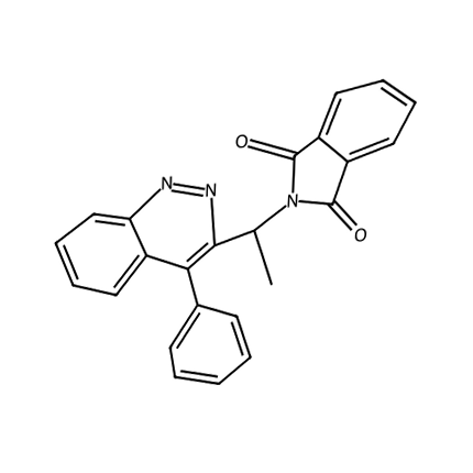 CC(c1nnc2ccccc2c1-c1ccccc1)N1C(=O)c2ccccc2C1=O